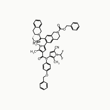 COC[C@@H]1Cc2ccccc2CN1C(=O)c1cc2c(cc1-c1cc(C(=O)N(c3ccc(OCc4ccccc4)cc3)c3cc(C#N)n(C(F)F)c3C)c(C)n1C)CCN(C(=O)OCc1ccccc1)C2